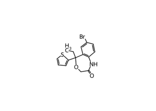 CCC1(c2cccs2)OCC(=O)Nc2ccc(Br)cc21